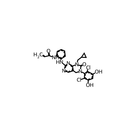 C=CC(=O)Nc1ccccc1Nc1ncc2c(n1)N(CC1CC1)C(=O)N(c1c(Cl)c(O)cc(O)c1Cl)C2